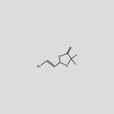 C=C1OB(/C=C/C(C)=O)OC1(C)C